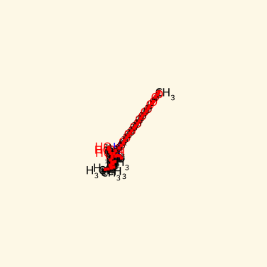 COCCOCCOCCOCCOCCOCCOCCOCCOCCOCCOCCOCCOCCOCCOCCOCCOCC(C(=O)NC1CCCCCC1)N(C(=O)[C@H](O)[C@@H](O)[C@H](O)[C@H](O)CO)C1CC[C@@]2(C)C(=CC[C@H]3[C@@H]4CC[C@H]([C@H](C)CCCC(C)C)[C@@]4(C)CC[C@@H]32)C1